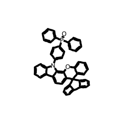 O=P(c1ccccc1)(c1ccccc1)c1ccc(-n2c3ccccc3c3ccc4c(c32)Oc2ccccc2C42c3ccccc3-c3ccccc32)cc1